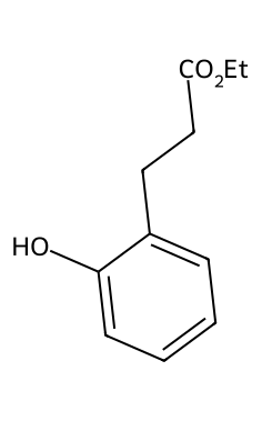 CCOC(=O)CCc1ccccc1O